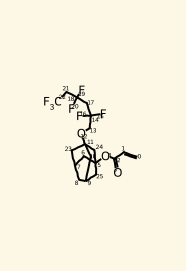 C=CC(=O)OC12CC3CC(CC(OCC(F)(F)CC(F)(F)CC(F)(F)F)(C3)C1)C2